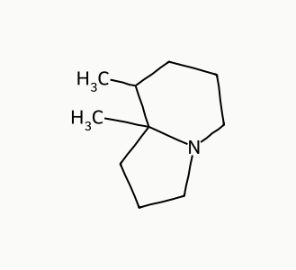 CC1CCCN2CCCC12C